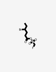 CCC(Br)CCC(=O)OS(=O)(=O)CF